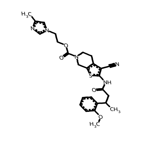 COc1ccccc1C(C)CC(=O)Nc1sc2c(c1C#N)CCN(C(=O)OCCn1cnc(C)c1)C2